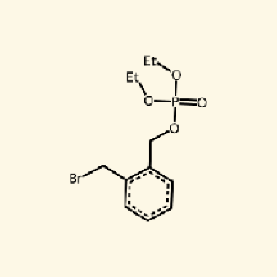 CCOP(=O)(OCC)OCc1ccccc1CBr